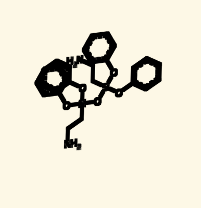 NCC[Si](Oc1ccccc1)(Oc1ccccc1)O[Si](CCN)(Oc1ccccc1)Oc1ccccc1